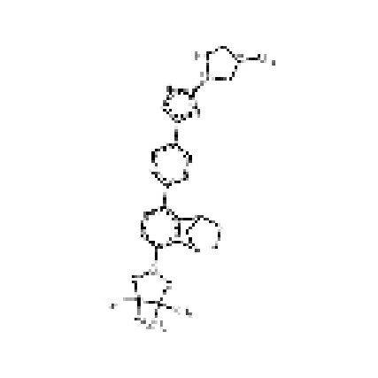 C[C@@H]1CN[C@H](c2nc(-c3ccc(-c4ccc(B5OC(C)(C)C(C)(C)O5)c5c4C4CCC5C4)cc3)c[nH]2)C1